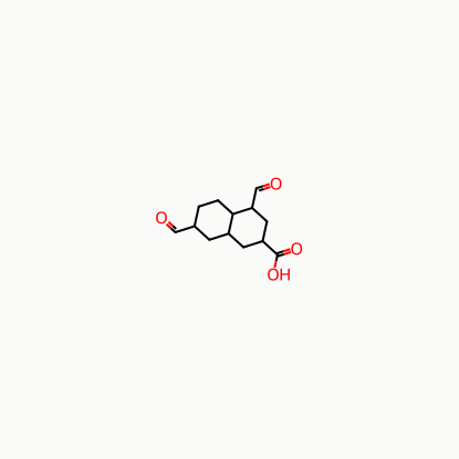 O=CC1CCC2C(C=O)CC(C(=O)O)CC2C1